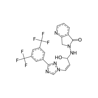 O=C1c2cccnc2CN1NC(O)/C=C\n1cnc(-c2cc(C(F)(F)F)cc(C(F)(F)F)c2)n1